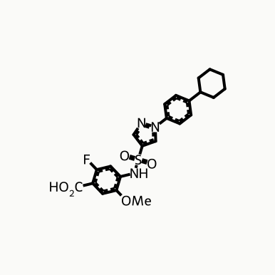 COc1cc(C(=O)O)c(F)cc1NS(=O)(=O)c1cnn(-c2ccc(C3CCCCC3)cc2)c1